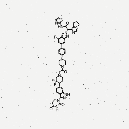 O=C1CCN(c2n[nH]c3cc(C4CCN(CC(=O)N5CCN(c6ccc(-c7cc(F)c8cn(C(C(=O)Nc9nccs9)c9ncn%10c9CCC%10)nc8c7)cc6)CC5)CC4(F)F)ccc23)C(=O)N1